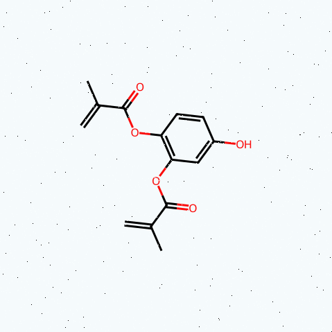 C=C(C)C(=O)Oc1ccc(O)cc1OC(=O)C(=C)C